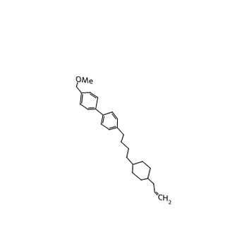 C=CCC1CCC(CCCCc2ccc(-c3ccc(COC)cc3)cc2)CC1